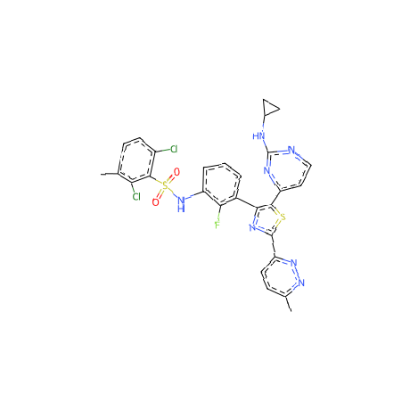 Cc1ccc(-c2nc(-c3cccc(NS(=O)(=O)c4c(Cl)ccc(C)c4Cl)c3F)c(-c3ccnc(NC4CC4)n3)s2)nn1